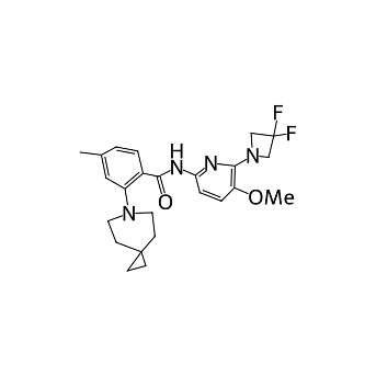 COc1ccc(NC(=O)c2ccc(C)cc2N2CCC3(CC2)CC3)nc1N1CC(F)(F)C1